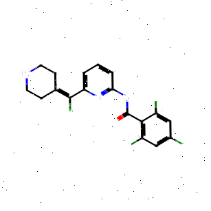 O=C(Nc1cccc(C(F)=C2CCNCC2)n1)c1c(F)cc(F)cc1F